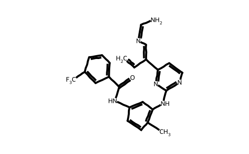 C=C/C(=C\N=C/N)c1ccnc(Nc2cc(NC(=O)c3cccc(C(F)(F)F)c3)ccc2C)n1